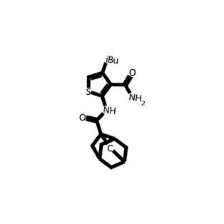 CCC(C)c1csc(NC(=O)C23CC4CC(CC2C4)C3)c1C(N)=O